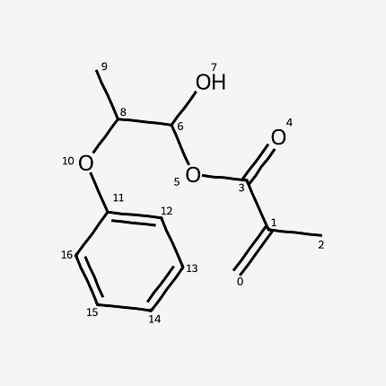 C=C(C)C(=O)OC(O)C(C)Oc1ccccc1